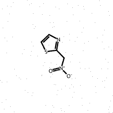 O=[N+]([O-])Cc1nccs1